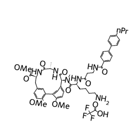 CCCc1ccc(-c2ccc(C(=O)NCCC(=O)N[C@@H](CCCCN)C(=O)N(C)[C@@H]3C(=O)N[C@@H](C)C(=O)N[C@H](C(=O)OC)Cc4ccc(OC)c(c4)-c4cc3ccc4OC)cc2)cc1.O=C(O)C(F)(F)F